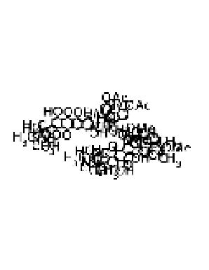 CC(=O)Oc1ccc2c3c1O[C@H]1[C@@H](OC(C)=O)C=C[C@H]4[C@@H](C2)N(C)CC[C@@]341.COC(=O)[C@@H]1c2cc3c(c(O)c2[C@@H](O[C@@H]2O[C@@H](C)[C@H](OC)[C@@](C)(OC)[C@H]2OC)C[C@]1(C)O)C(=O)c1c(O)cc2c(c1C3=O)O[C@@H]1O[C@@]2(C)[C@H](O)[C@@H](N(C)C)[C@@H]1O.CO[C@@H]1C[C@](C)(O)Cc2cc3c(c(O)c21)C(=O)c1c(O)cc2c(c1C3=O)O[C@@H]1O[C@@]2(C)[C@H](O)[C@@H](N(C)C)[C@@H]1O